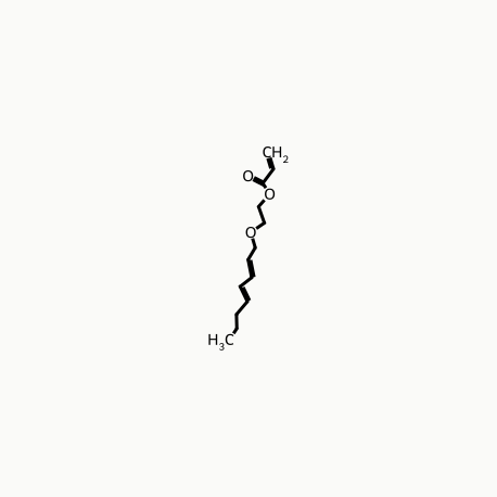 C=CC(=O)OCCOCC=CC=CCCC